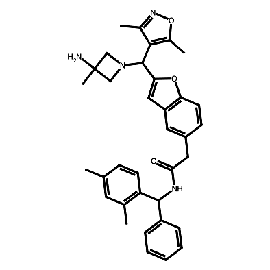 Cc1ccc(C(NC(=O)Cc2ccc3oc(C(c4c(C)noc4C)N4CC(C)(N)C4)cc3c2)c2ccccc2)c(C)c1